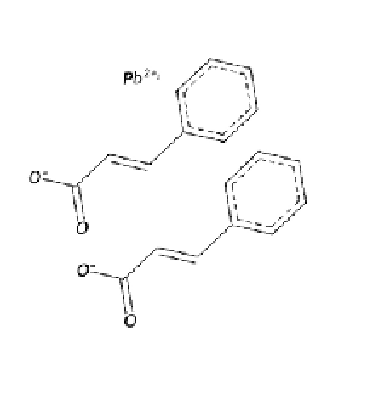 O=C([O-])C=Cc1ccccc1.O=C([O-])C=Cc1ccccc1.[Pb+2]